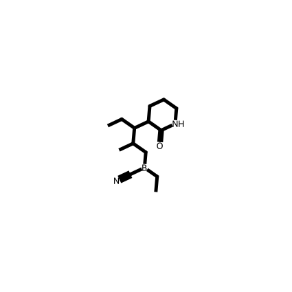 CCB(C#N)CC(C)C(CC)C1CCCNC1=O